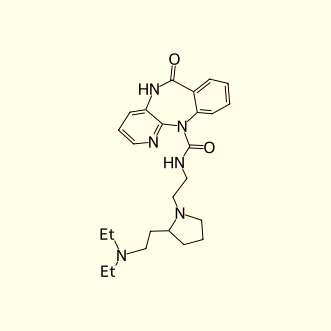 CCN(CC)CCC1CCCN1CCNC(=O)N1c2ccccc2C(=O)Nc2cccnc21